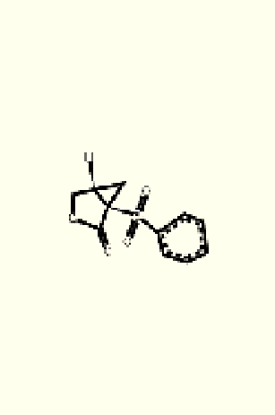 O=C1OC[C@@H]2C[C@]12S(=O)(=O)c1ccccc1